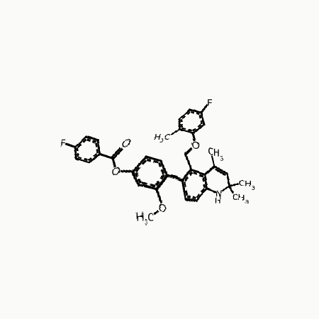 COc1cc(OC(=O)c2ccc(F)cc2)ccc1-c1ccc2c(c1COc1cc(F)ccc1C)C(C)=CC(C)(C)N2